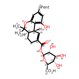 CCCCCc1cc(O)c2c(c1)OC(C)(C)[C@@H]1CCC(C(=O)O[C@@H]3O[C@H](C(=O)O)[C@@H](O)[C@H](O)[C@H]3O)=C[C@@H]21